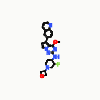 COc1nc(N[C@@H]2CCN(C3COC3)C[C@@H]2F)nn2ccc(-c3ccc4ncccc4c3)c12